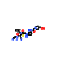 CCn1c(=C(C#N)C(=O)NCC#N)sc(=CNc2cccc(NC(=O)CN3CCC(CO)CC3)c2)c1=O